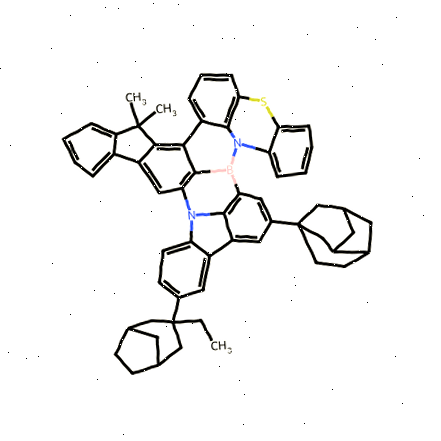 CCC1(c2ccc3c(c2)c2cc(C45CCC6CC(CC6C4)C5)cc4c2n3-c2cc3c(c5c2B4N2c4ccccc4Sc4cccc-5c42)C(C)(C)c2ccccc2-3)CC2CCC(C2)C1